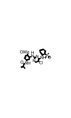 C=C(C)C(=O)Nc1ccc(OC)c(Nc2ncc(Cl)c(Nc3ccccc3P(C)(C)=O)n2)c1